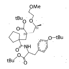 COCCO[C@@H](C)C[C@H](CC1(C(=O)NC(Cc2ccc(OC(C)(C)C)cc2)C(=O)OC(C)(C)C)CCCC1)C(=O)OC(C)(C)C